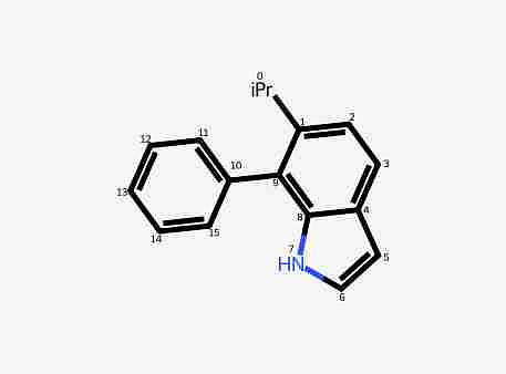 CC(C)c1ccc2cc[nH]c2c1-c1ccccc1